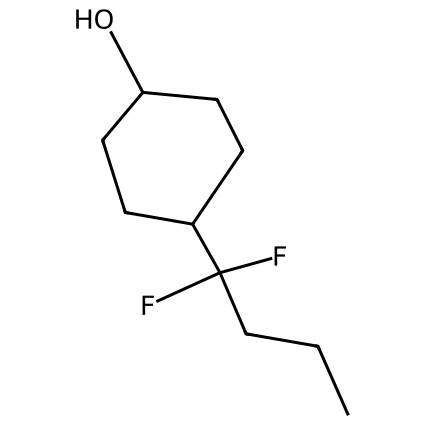 CCCC(F)(F)C1CCC(O)CC1